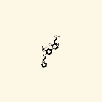 COc1cc(-n2ccnc(CCO)c2=O)ccc1OCCN1CCCC1